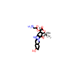 CCCC[Si](C)(C)C1OC(=O)C(CC)(OC(=O)CN)C2=C1C(=O)C1=C(C2)NC2=Cc3cc(O)ccc3CN21